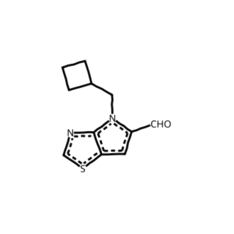 O=Cc1cc2scnc2n1CC1CCC1